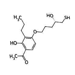 CCCc1c(OCCC[C@H](O)CS)ccc(C(C)=O)c1O